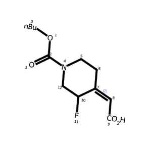 CCCCOC(=O)N1CC/C(=C/C(=O)O)C(F)C1